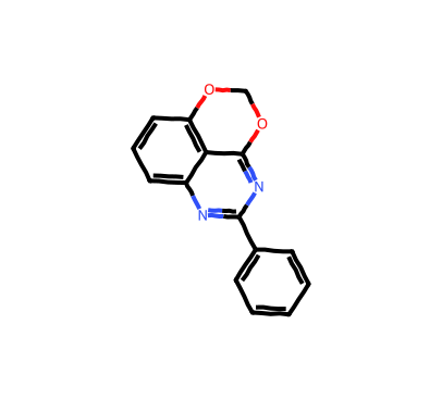 c1ccc(-c2nc3c4c(cccc4n2)OCO3)cc1